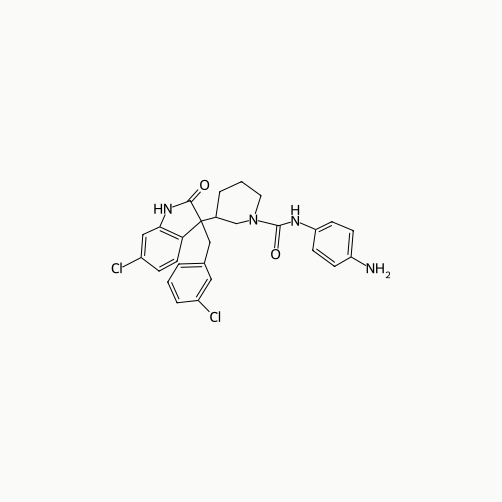 Nc1ccc(NC(=O)N2CCCC(C3(Cc4cccc(Cl)c4)C(=O)Nc4cc(Cl)ccc43)C2)cc1